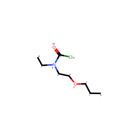 CCCOCCN(CC)C(=O)Cl